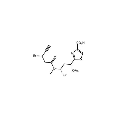 C#C[C@@H](CC)CC(=O)N(C)[C@H](C[C@@H](OC(C)=O)c1nc(C(=O)O)cs1)C(C)C